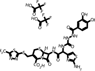 Cc1nnc(SCC2=C(C(=O)O)N3C(=O)C(NC(=O)C(NC(=O)NNC(=O)c4ccc(O)c(O)c4)c4csc(N)n4)[C@@H]3SC2)s1.O=C(O)C(F)(F)F.O=C(O)C(F)(F)F